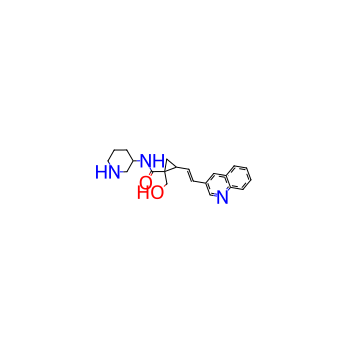 O=C(NC1CCCNC1)C1(CO)CC1C=Cc1cnc2ccccc2c1